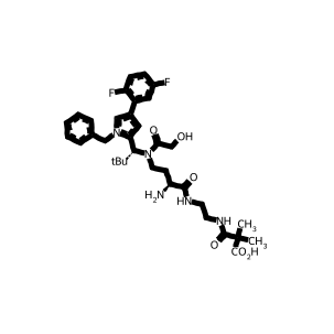 CC(C)(C(=O)O)C(=O)NCCNC(=O)[C@@H](N)CCN(C(=O)CO)[C@@H](c1cc(-c2cc(F)ccc2F)cn1Cc1ccccc1)C(C)(C)C